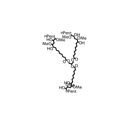 CCCCCC(O)C(CC(OC)C(O)CCCCCCCC(=O)OC(COC(=O)CCCCCCCC(O)C(CC(O)C(CCCCC)OC)OC)COC(=O)CCCCCCCC(O)C(CC(O)C(CCCCC)OC)OC)OC